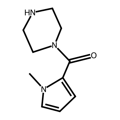 Cn1cccc1C(=O)N1CCNCC1